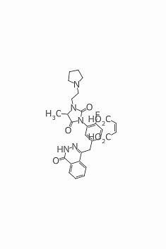 CC1C(=O)N(c2cc(Cc3n[nH]c(=O)c4ccccc34)ccc2F)C(=O)N1CCN1CCCC1.O=C(O)/C=C\C(=O)O